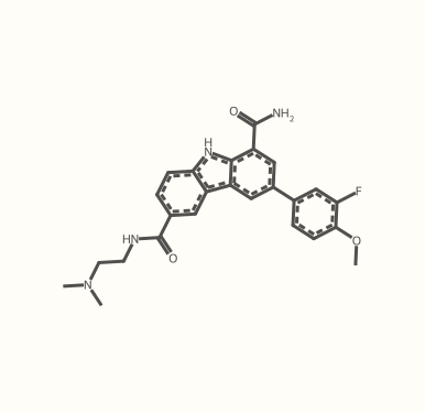 COc1ccc(-c2cc(C(N)=O)c3[nH]c4ccc(C(=O)NCCN(C)C)cc4c3c2)cc1F